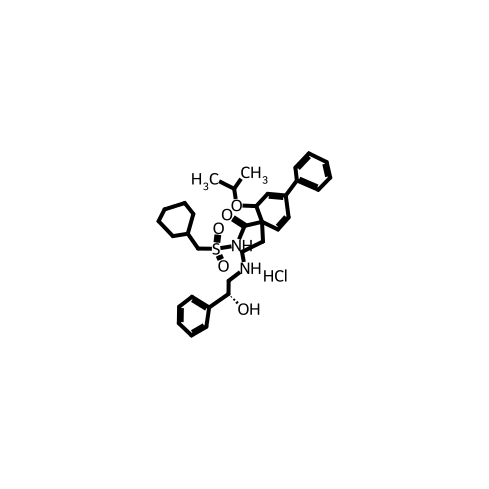 CC(C)OC1C=C(c2ccccc2)C=CC1(CCNC[C@H](O)c1ccccc1)C(=O)NS(=O)(=O)CC1CCCCC1.Cl